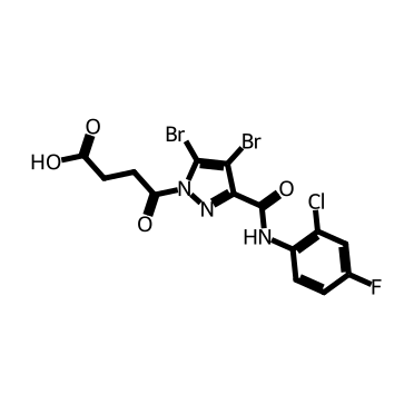 O=C(O)CCC(=O)n1nc(C(=O)Nc2ccc(F)cc2Cl)c(Br)c1Br